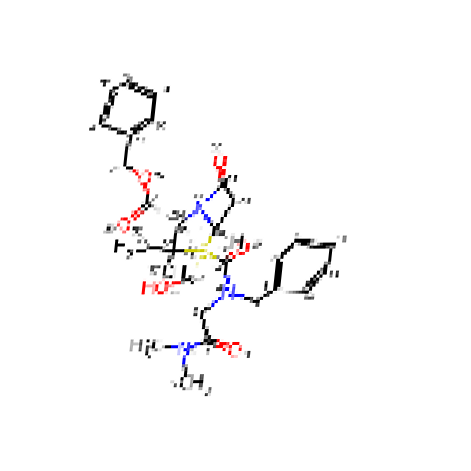 CN(C)C(=O)CN(Cc1ccccc1)C(=O)[S@]1(CO)[C@@H]2CC(=O)N2[C@@H](C(=O)OCc2ccccc2)C1(C)C